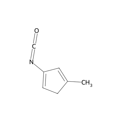 CC1=CC(N=C=O)=CC1